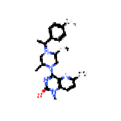 CCCC1CN(c2nc(=O)n(C)c3ccc(C#N)nc23)C(C)CN1C(C)c1ccc(C(F)(F)F)cc1